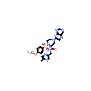 Cc1cnc(CNC(=O)[C@H]2CN(c3cnc4cncnc4n3)CCN2S(=O)(=O)c2ccc(OC(F)(F)F)cc2)cn1